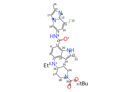 CCN(c1ccc(C(=O)Nc2cc(F)c3nc(C)cn3c2)c2[nH]c(C)cc12)C1CCN(C(=O)OC(C)(C)C)CC1